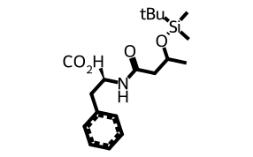 CC(CC(=O)N[C@@H](Cc1ccccc1)C(=O)O)O[Si](C)(C)C(C)(C)C